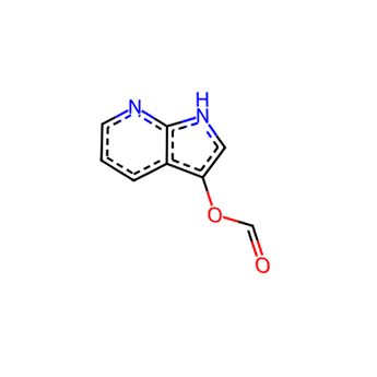 O=COc1c[nH]c2ncccc12